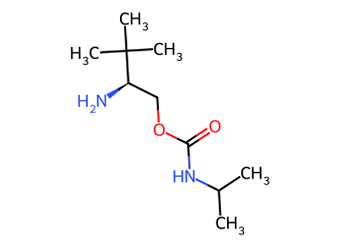 CC(C)NC(=O)OC[C@@H](N)C(C)(C)C